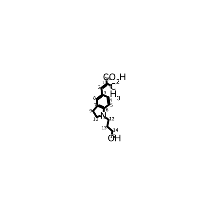 C/C(=C\c1ccc2c(c1)CCN2CCCO)C(=O)O